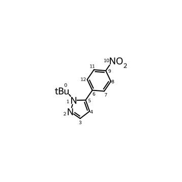 CC(C)(C)n1nccc1-c1ccc([N+](=O)[O-])cc1